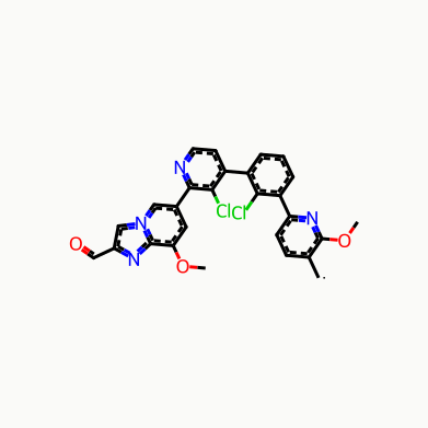 [CH2]c1ccc(-c2cccc(-c3ccnc(-c4cc(OC)c5nc(C=O)cn5c4)c3Cl)c2Cl)nc1OC